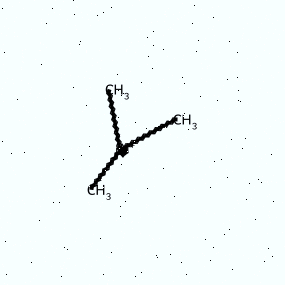 CCCCCCCCCCCCCCCCCCc1n(CCCCCCCCCCCCCC)cc[n+]1CCCCCCCCCCCCCCCCCC